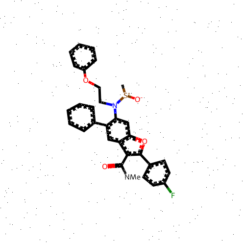 CNC(=O)c1c(-c2ccc(F)cc2)oc2cc(N(CCOc3ccccc3)[S+](C)[O-])c(-c3ccccc3)cc12